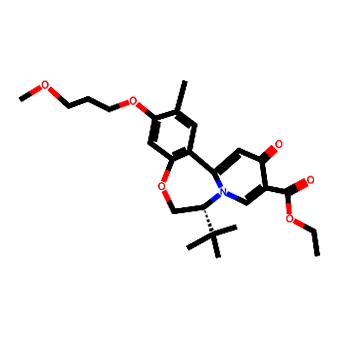 CCOC(=O)c1cn2c(cc1=O)-c1cc(C)c(OCCCOC)cc1OC[C@H]2C(C)(C)C